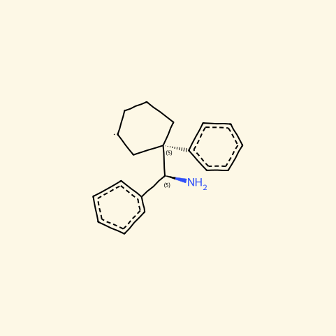 N[C@@H](c1ccccc1)[C@@]1(c2ccccc2)C[CH]CCC1